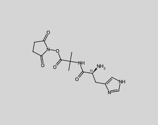 CC(C)(NC(=O)[C@@H](N)Cc1c[nH]cn1)C(=O)ON1C(=O)CCC1=O